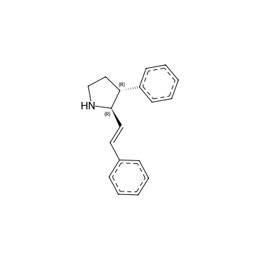 C(=C[C@H]1NCC[C@@H]1c1ccccc1)c1ccccc1